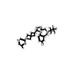 Cc1cncc(N2CC3(CC(c4nnc5n4-c4ccc(Cl)cc4CN(C(C)(C)C(F)(F)F)C5)C3)C2)n1